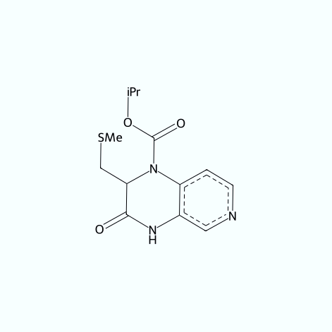 CSCC1C(=O)Nc2cnccc2N1C(=O)OC(C)C